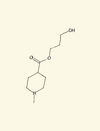 CN1CCC(C(=O)OCCCO)CC1